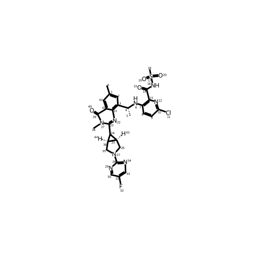 Cc1cc([C@@H](C)Nc2ccc(Cl)nc2C(=O)NS(C)(=O)=O)c2nc(C3[C@H]4CN(c5ncc(F)cn5)C[C@@H]34)n(C)c(=O)c2c1